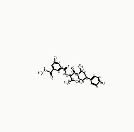 COC(=O)c1cc(Cl)cc(C(=O)N[C@@H](C(=O)N2CCC(c3ccc(Cl)cc3)CC2C)C(C)C)c1